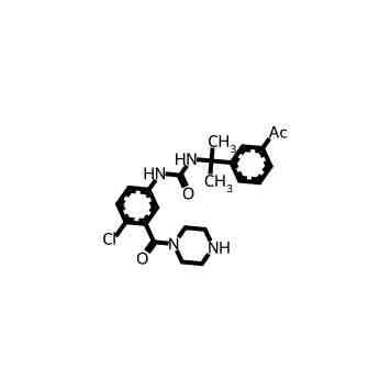 CC(=O)c1cccc(C(C)(C)NC(=O)Nc2ccc(Cl)c(C(=O)N3CCNCC3)c2)c1